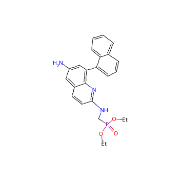 CCOP(=O)(CNc1ccc2cc(N)cc(-c3cccc4ccccc34)c2n1)OCC